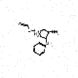 COC=O.NC1COCC1N.c1ccccc1